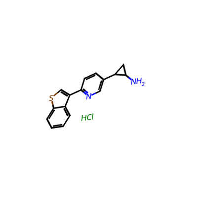 Cl.NC1CC1c1ccc(-c2csc3ccccc23)nc1